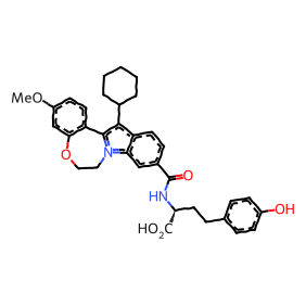 COc1ccc2c(c1)OCCn1c-2c(C2CCCCC2)c2ccc(C(=O)N[C@@H](CCc3ccc(O)cc3)C(=O)O)cc21